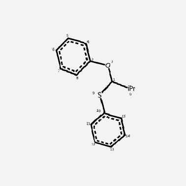 CC(C)C(Oc1ccccc1)Sc1ccccc1